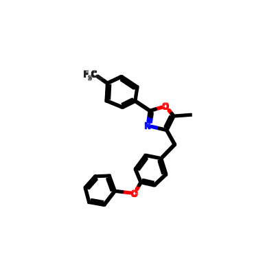 Cc1oc(-c2ccc(C(F)(F)F)cc2)nc1Cc1ccc(Oc2ccccc2)cc1